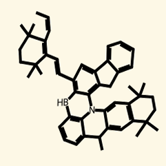 C/C=C\C1=C(/C=C/c2cc3c(c4c2Bc2cccc5c2N4c2cc4c(cc2C5C)C(C)(C)CCC4(C)C)Cc2ccccc2-3)C(C)(C)CCC1(C)C